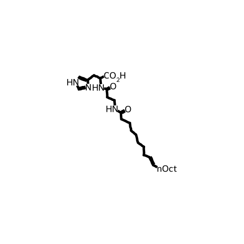 CCCCCCCCC=CCCCCCCCC(=O)NCCC(=O)NC(Cc1c[nH]cn1)C(=O)O